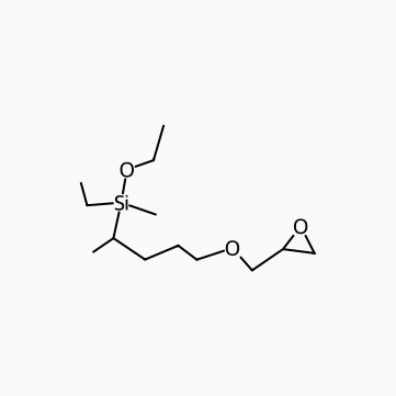 CCO[Si](C)(CC)C(C)CCCOCC1CO1